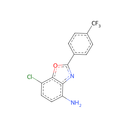 Nc1ccc(Cl)c2oc(-c3ccc(C(F)(F)F)cc3)nc12